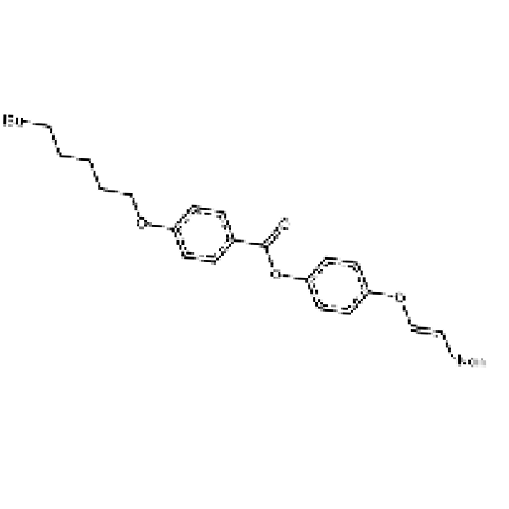 CCCCCCCCCC=COc1ccc(OC(=O)c2ccc(OCCCCCC(C)CC)cc2)cc1